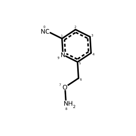 N#Cc1cccc(CON)n1